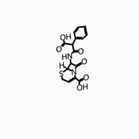 O=C(O)C1=CCS[C@@H]2C(NC(=O)C(C(=O)O)c3ccccc3)C(=O)N12